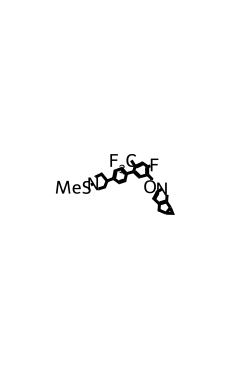 CSN1CCC(c2ccc(-c3cc(COc4cc5c(cn4)C4CC4C5)c(F)cc3C(F)(F)F)cc2)CC1